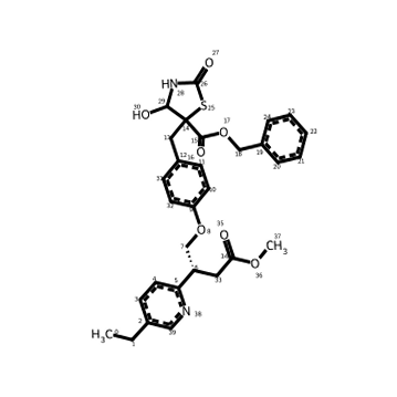 CCc1ccc([C@H](COc2ccc(CC3(C(=O)OCc4ccccc4)SC(=O)NC3O)cc2)CC(=O)OC)nc1